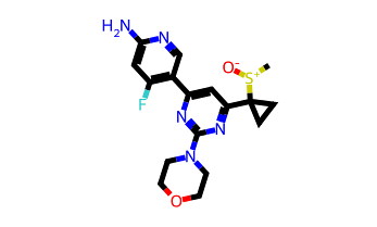 C[S+]([O-])C1(c2cc(-c3cnc(N)cc3F)nc(N3CCOCC3)n2)CC1